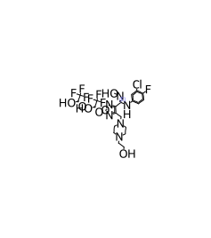 O=C(O)C(F)(F)F.O=C(O)C(F)(F)F.OCCN1CCN(Cc2nonc2/C(=N\O)Nc2ccc(F)c(Cl)c2)CC1